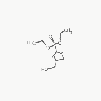 CCOP(=O)(OCC)[C@@H]1O[C@@H](CO)CS1